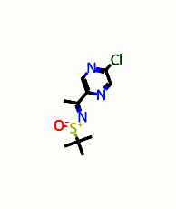 CC(=N[S@@+]([O-])C(C)(C)C)c1cnc(Cl)cn1